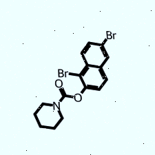 O=C(Oc1ccc2cc(Br)ccc2c1Br)N1CCCCC1